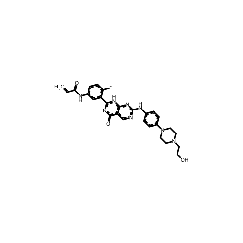 C=CC(=O)Nc1ccc(F)c(-c2nc(=O)c3cnc(Nc4ccc(N5CCN(CCO)CC5)cc4)nc3[nH]2)c1